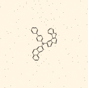 c1ccc(-c2ccc(N(c3ccc4c(ccc5ccccc54)c3)c3ccc4ccc5sc6ccccc6c5c4c3)cc2)cc1